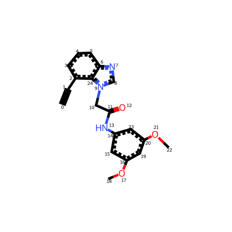 C#Cc1cccc2ncn(CC(=O)Nc3cc(OC)cc(OC)c3)c12